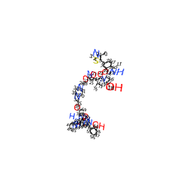 Cc1ncsc1-c1ccc([C@H](C)NC(=O)[C@@H]2C[C@@H](O)CN2C(=O)[C@@H](c2cc(OCCN3CCN(CCO[C@H]4C[C@H](Oc5cc(N6C7CCC6CN(c6cc(-c8ccccc8O)nnc6N)C7)ccn5)C4)CC3)no2)C(C)C)cc1